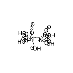 CCN1c2ccc3c(S(=O)(=O)O)cc(S(=O)(=O)O)cc3c2C(C)(CCOCCOCCOC)C1C=CC=CC=C1N(CCCCCC(=O)O)c2ccc3c(S(=O)(=O)O)cc(S(=O)(=O)O)cc3c2C1(C)CCOCCOCCOC